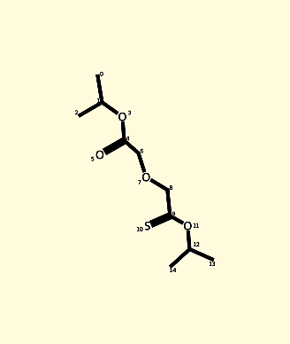 CC(C)OC(=O)COCC(=S)OC(C)C